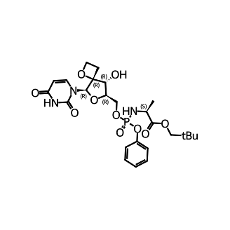 C[C@H](NP(=O)(OC[C@H]1O[C@@H](n2ccc(=O)[nH]c2=O)[C@@]2(CCO2)[C@@H]1O)Oc1ccccc1)C(=O)OCC(C)(C)C